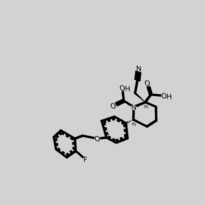 N#CC[C@@]1(C(=O)O)CCC[C@H](c2ccc(OCc3ccccc3F)cc2)N1C(=O)O